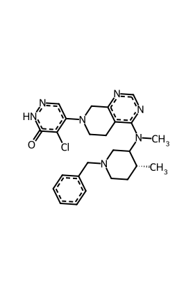 C[C@@H]1CCN(Cc2ccccc2)CC1N(C)c1ncnc2c1CCN(c1cn[nH]c(=O)c1Cl)C2